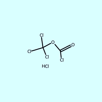 Cl.O=C(Cl)OC(Cl)(Cl)Cl